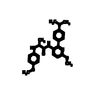 COc1ccc(NC(C)C(=O)Nc2ccc(OC)nc2-c2ccc(N(C)C)cc2)cc1